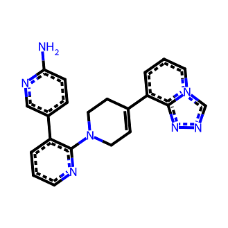 Nc1ccc(-c2cccnc2N2CC=C(c3cccn4cnnc34)CC2)cn1